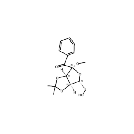 CO[C@]1(C(=O)c2ccccc2)O[C@H](CO)[C@H]2OC(C)(C)O[C@H]21